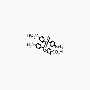 Cc1cc(OC(=O)c2ccc(N)cc2)ccc1C(=O)O.Nc1ccc(C(=O)Oc2ccc(C(=O)O)cc2)cc1